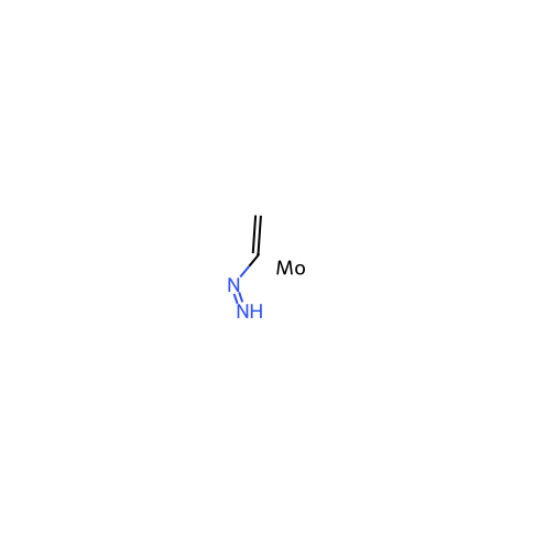 C=CN=N.[Mo]